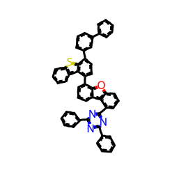 c1ccc(-c2cccc(-c3ccc(-c4cccc5c4oc4cccc(-c6nc(-c7ccccc7)nc(-c7ccccc7)n6)c45)c4c3sc3ccccc34)c2)cc1